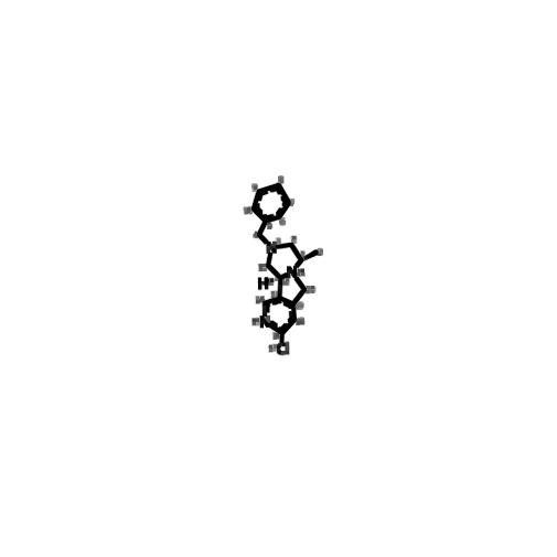 C[C@@H]1CN(Cc2ccccc2)C[C@@H]2c3cnc(Cl)cc3CN12